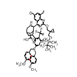 COc1ccc(CN(Cc2ccc(OC)cc2)c2cc(C)c(C(F)(F)F)c(C3CC4CNC(c5nc(OCC6(CO[Si](C)(C)C(C)(C)C)CC6)nc6c(F)cc(Cl)cc56)C3N4C(=O)O)n2)cc1